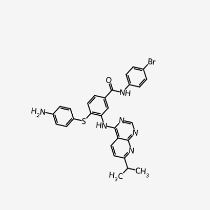 CC(C)c1ccc2c(Nc3cc(C(=O)Nc4ccc(Br)cc4)ccc3Sc3ccc(N)cc3)ncnc2n1